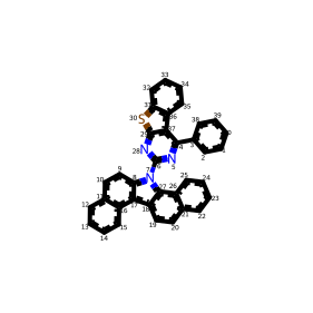 c1ccc(-c2nc(-n3c4ccc5ccccc5c4c4ccc5ccccc5c43)nc3sc4ccccc4c23)cc1